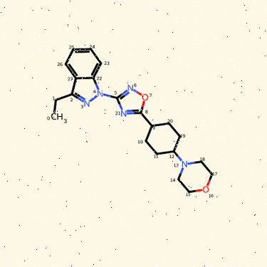 CCc1nn(-c2noc(C3CCC(N4CCOCC4)CC3)n2)c2ccccc12